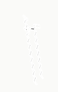 CCCCCCCCCCCCCCCC(=O)O.CCCCCCCCCCCCCCCCOOCCOC